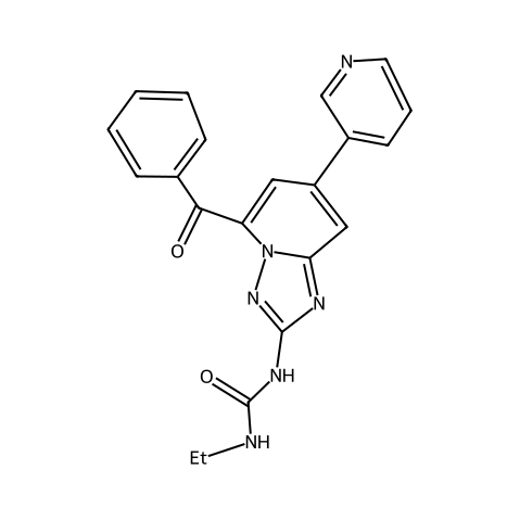 CCNC(=O)Nc1nc2cc(-c3cccnc3)cc(C(=O)c3ccccc3)n2n1